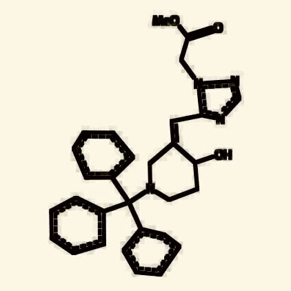 COC(=O)Cn1ncnc1C=C1CN(C(c2ccccc2)(c2ccccc2)c2ccccc2)CCC1O